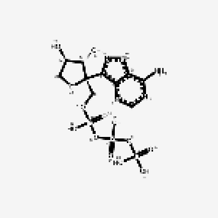 Nc1ncnc2c([C@]3(COP(=O)(O)OP(=O)(O)OP(=O)(O)O)OC[C@@H](O)[C@@H]3O)n[nH]c12